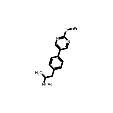 CCCOc1ncc(-c2ccc(CC(C)NC(C)=O)cc2)cn1